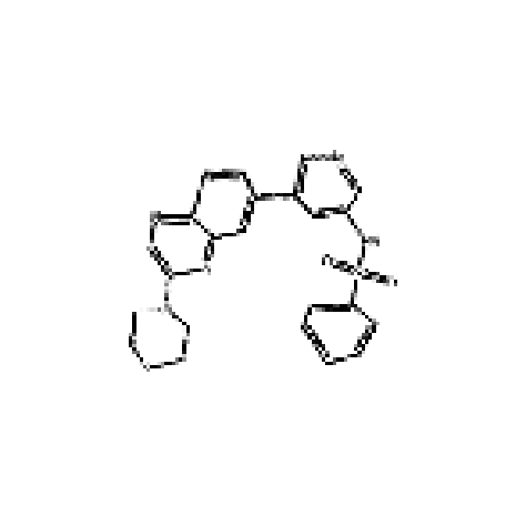 O=S(=O)(Nc1cncc(-c2ccc3ncc(N4CCSCC4)nc3c2)c1)c1ccccc1